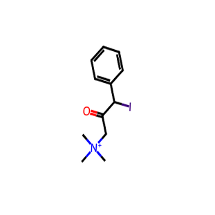 C[N+](C)(C)CC(=O)C(I)c1ccccc1